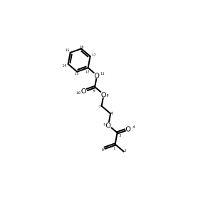 C=C(C)C(=O)OCCOC(=O)Oc1ccccc1